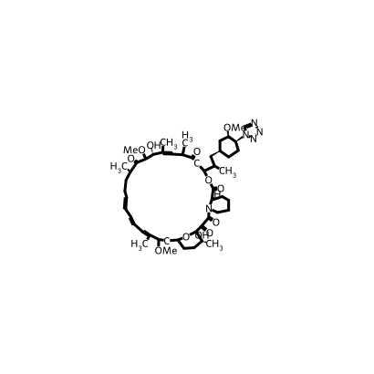 COC1CC2CC[C@@H](C)[C@@](O)(O2)C(=O)C(=O)N2CCCC[C@H]2C(=O)OC(C(C)C[C@@H]2CC[C@H](n3cnnn3)[C@H](OC)C2)CC(=O)C(C)/C=C(\C)[C@@H](O)C(OC)C(=O)[C@H](C)CC/C=C/C=C/C=C/1C